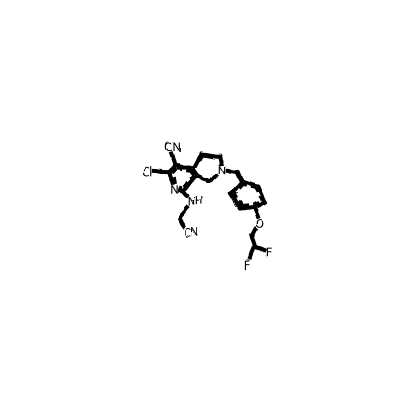 N#CCNc1nc(Cl)c(C#N)c2c1CN(Cc1ccc(OCC(F)F)cc1)CC2